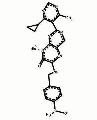 CC[C@@H](C)n1c(=O)c(NCc2ccc([S+](C)[O-])cc2)nc2cnc(-c3c(C)ncnc3C3CC3)nc21